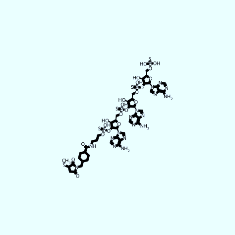 CSC1CC(=O)N(CC2CCC(C(=O)NCCCOP(O)(=S)OC3[C@@H](O)[C@@H](COP(O)(=S)OC4[C@@H](O)[C@@H](COP(O)(=S)OC5[C@@H](O)[C@@H](COP(O)(O)=S)O[C@H]5n5cnc6c(N)ncnc65)O[C@H]4n4cnc5c(N)ncnc54)O[C@H]3n3cnc4c(N)ncnc43)CC2)C1=O